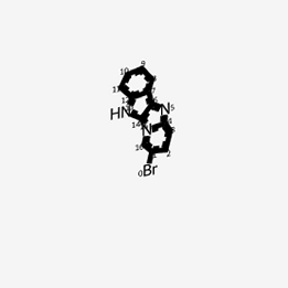 Brc1ccc2nc3c4ccccc4[nH]c3n2c1